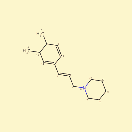 CC1C=CC(/C=C/CN2CCCCC2)=CC1C